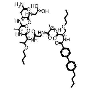 CCCCOC[C@@H](NC(=O)c1ccc(-c2ccc(CCCC)cc2)cc1)C(=O)N[C@H](C)C(=O)NCC(=O)N[C@H](C(=O)N[C@@H](C)C(=O)N[C@@H](CC(N)=O)C(=O)NCB(O)O)C(C)OCCCC